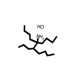 CCCCC(CCC)C(N)(CCCC)CCCC.Cl